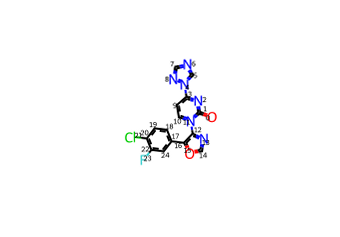 O=c1nc(-n2cncn2)ccn1-c1ncoc1-c1ccc(Cl)c(F)c1